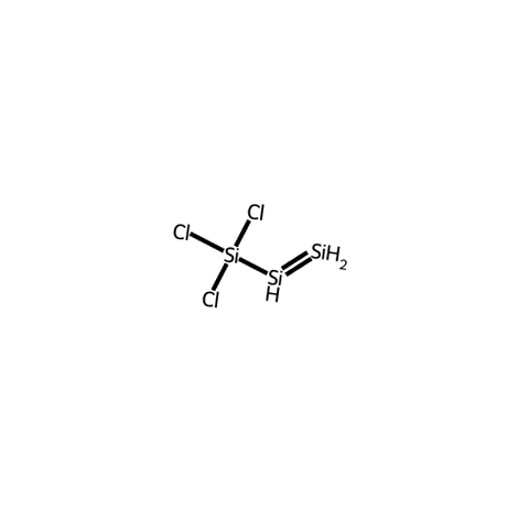 [SiH2]=[SiH][Si](Cl)(Cl)Cl